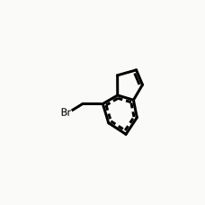 BrCc1cccc2c1CC=C2